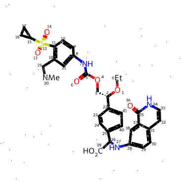 CCO[C@@H](COC(=O)Nc1ccc(S(=O)(=O)C2CC2)c(CNC)c1)c1ccc(C(Nc2ccc3cc[nH]c(=O)c3c2)C(=O)O)cc1